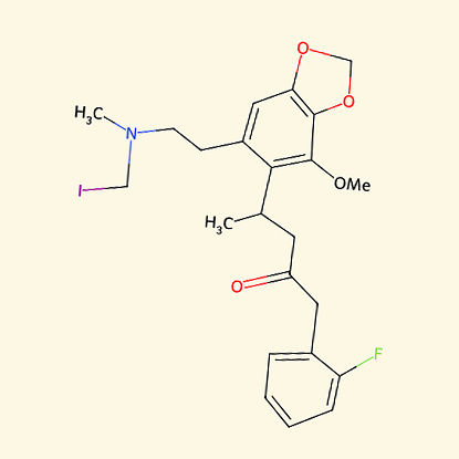 COc1c2c(cc(CCN(C)CI)c1C(C)CC(=O)Cc1ccccc1F)OCO2